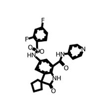 O=C(Nc1ccncc1)c1cc(NS(=O)(=O)c2ccc(F)cc2F)cc2c1NC(=O)C21CCCC1